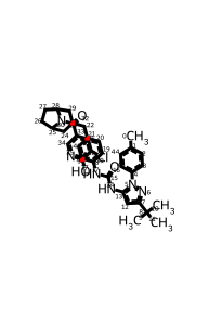 Cc1ccc(-n2nc(C(C)(C)C)cc2NC(=O)Nc2ccc(CC3CC4CCC(C3)N4C(=O)c3cnc(O)c(Cl)c3)cc2)cc1